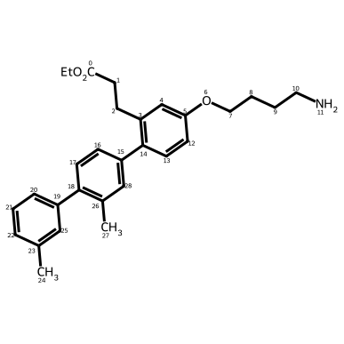 CCOC(=O)CCc1cc(OCCCCN)ccc1-c1ccc(-c2cccc(C)c2)c(C)c1